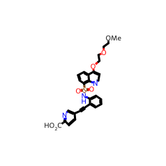 COCCOCCOc1ccnc2c(S(=O)(=O)Nc3ccccc3C#Cc3ccc(C(=O)O)nc3)cccc12